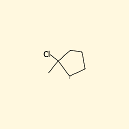 CC1(Cl)[CH]CCC1